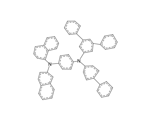 c1ccc(-c2ccc(N(c3ccc(N(c4ccc5ccccc5c4)c4cccc5ccccc45)cc3)c3cc(-c4ccccc4)cc(-c4ccccc4)c3)cc2)cc1